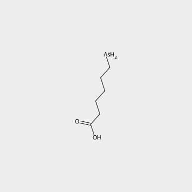 O=C(O)CCCCC[AsH2]